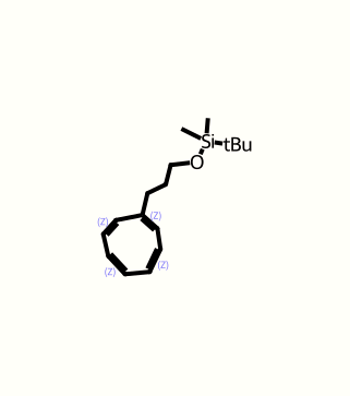 CC(C)(C)[Si](C)(C)OCCCC1=C/C=C\C=C/C=C\1